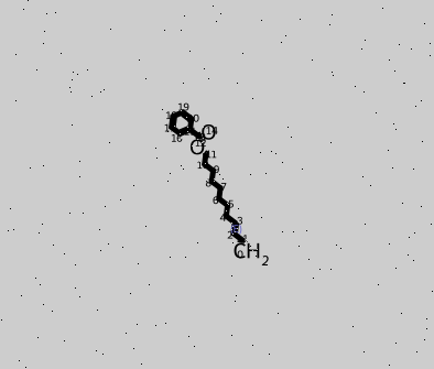 C=C/C=C/CCCCCCCCOC(=O)c1ccccc1